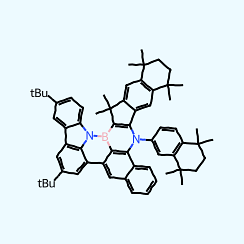 CC(C)(C)c1ccc2c(c1)c1cc(C(C)(C)C)cc3c1n2B1C2=C(c4cc5c(cc4C2(C)C)C(C)(C)CCC5(C)C)N(c2ccc4c(c2)C(C)(C)CCC4(C)C)c2c1c-3cc1ccccc21